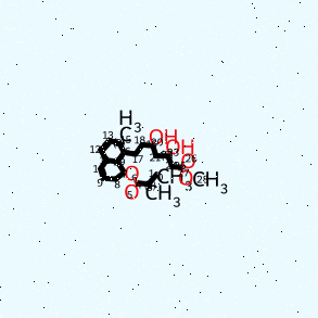 CC[C@H](C)C(=O)OC1CC=CC2C=C[C@H](C)C(CCC(O)C[C@H](O)CC(=O)OC)C21